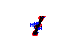 NC(CC(=O)NCCCCO[N+](=O)[O-])C(=O)NCCCCO[N+](=O)[O-]